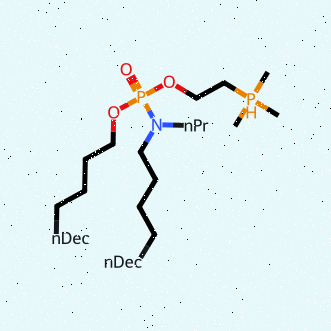 CCCCCCCCCCCCCCOP(=O)(OCC[PH](C)(C)C)N(CCC)CCCCCCCCCCCCCC